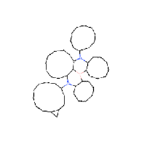 C1CCCCC(N2C3CCCCCCCC3B3C4CCCCCCC4N(C4CCCCCCCC5CC5CC4)C4CCCCCCCCC2C34)CCCC1